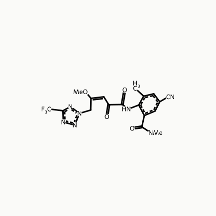 CNC(=O)c1cc(C#N)cc(C)c1NC(=O)C(=O)C=C(Cn1nnc(C(F)(F)F)n1)OC